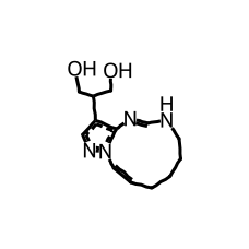 OCC(CO)c1cnn2c1/N=C/NCCCC/C=C\2